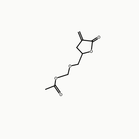 C=C1CC(COCOC(C)=O)OC1=O